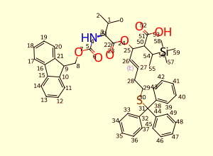 CC(C)[C@H](NC(=O)OCC1c2ccccc2-c2ccccc21)C(=O)OC(/C=C/CCSC(c1ccccc1)(c1ccccc1)c1ccccc1)C(C(=O)O)C(C)[Si](C)(C)C